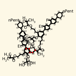 C=C(C)C(=O)OCCCc1cc(-c2ccc(-c3ccc(C4CCC(CCCCC)CC4)cc3F)cc2CC)cc(CCCOC(=O)C(=C)CCC(=C)C(=O)OCCCc2cc(-c3ccc(-c4ccc(C5CCC(CCCCC)CC5)cc4F)cc3CC)cc(CCCOC(=O)C(=C)C)c2OCC(CC)(CO)CO)c1OCC(C)(CO)CO